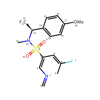 C=N/C=C(\C=C(/C)F)S(=O)(=O)N(C)[C@H](c1ccc(OC)cc1)C(F)(F)F